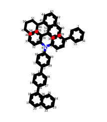 c1ccc(-c2ccc(N(c3ccc(-c4ccc(-c5cccc6ccccc56)cc4)cc3)c3ccccc3-c3cccc4cccc(C5CCCCC5)c34)cc2)cc1